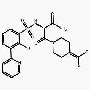 CCc1c(-c2ccccn2)cccc1S(=O)(=O)N[C@@H](C(N)=O)C(=O)N1CCC(=C(F)F)CC1